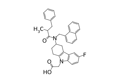 CC(Cc1ccccc1)C(=O)N(Cc1cccc2ccccc12)C1CCc2c(c3cc(F)ccc3n2CC(=O)O)C1